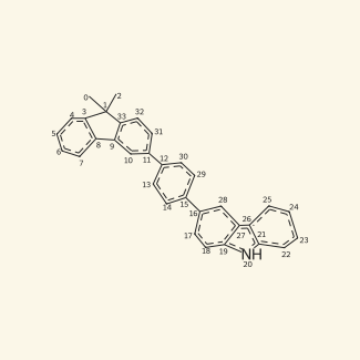 CC1(C)c2ccccc2-c2cc(-c3ccc(-c4ccc5[nH]c6ccccc6c5c4)cc3)ccc21